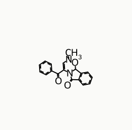 CN1C=C(C(=O)c2ccccc2)N2C(=O)c3ccccc3C2O1